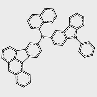 c1ccc(-n2c3ccccc3c3cc(N(c4ccc5c(c4)-c4cccc6cc7ccccc7c-5c46)c4cccc5ccccc45)ccc32)cc1